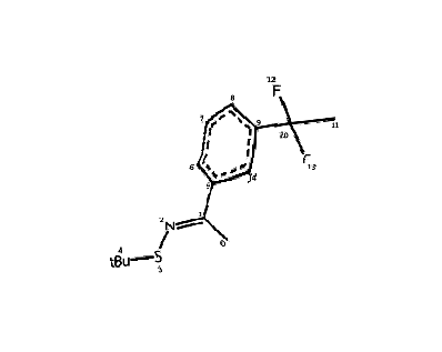 C/C(=N\SC(C)(C)C)c1cccc(C(C)(F)F)c1